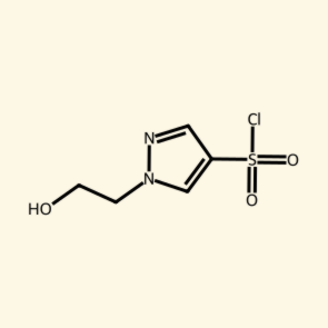 O=S(=O)(Cl)c1cnn(CCO)c1